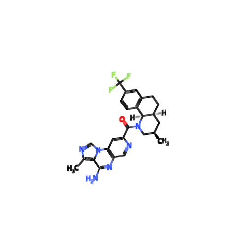 Cc1ncn2c1c(N)nc1cnc(C(=O)N3C[C@H](C)C[C@@H]4CCc5cc(C(F)(F)F)ccc5[C@@H]43)cc12